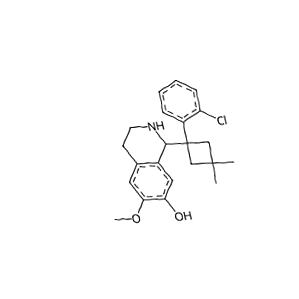 COc1cc2c(cc1O)C(C1(c3ccccc3Cl)CC(C)(C)C1)NCC2